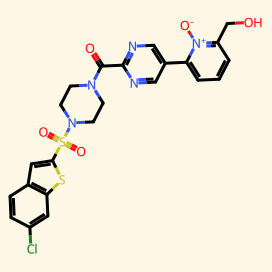 O=C(c1ncc(-c2cccc(CO)[n+]2[O-])cn1)N1CCN(S(=O)(=O)c2cc3ccc(Cl)cc3s2)CC1